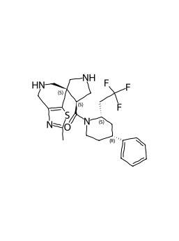 Cc1nc2c(s1)[C@]1(CNC2)CNC[C@H]1C(=O)N1CC[C@@H](c2ccccc2)C[C@H]1CC(F)(F)F